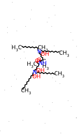 CCCCCCCCCCC(C)CN(CCCCC(C)C(=O)NC(CCCCN(CC(O)CCCCCCCCCC)CC(O)CCCCCCCCCC)C(C)=O)CC(O)CCCCCCCCCC